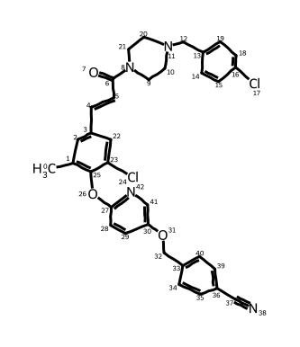 Cc1cc(/C=C/C(=O)N2CCN(Cc3ccc(Cl)cc3)CC2)cc(Cl)c1Oc1ccc(OCc2ccc(C#N)cc2)cn1